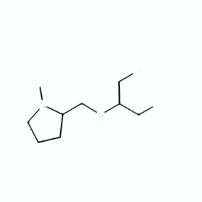 CCN1CCCC1CNC(CO)CO